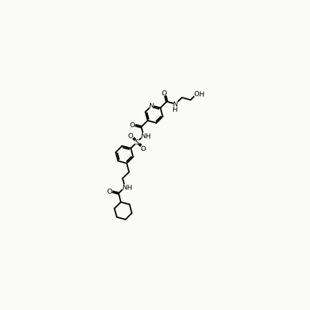 O=C(NS(=O)(=O)c1cccc(CCNC(=O)C2CCCCC2)c1)c1ccc(C(=O)NCCO)nc1